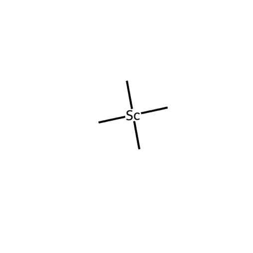 [CH3][Sc]([CH3])([CH3])[CH3]